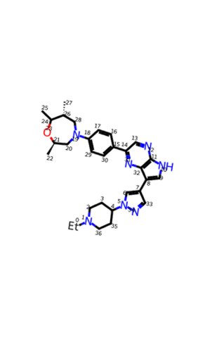 CCN1CCC(n2cc(-c3c[nH]c4ncc(-c5ccc(N6C[C@@H](C)OC(C)[C@H](C)C6)cc5)nc34)cn2)CC1